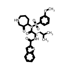 COc1cccc(S(=O)(=O)N(C(=O)[C@H](CC(C)C)NC(=O)c2cc3ccccc3s2)C2CCCNCC2=O)c1